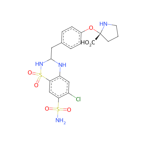 NS(=O)(=O)c1cc2c(cc1Cl)NC(Cc1ccc(O[C@@]3(C(=O)O)CCCN3)cc1)NS2(=O)=O